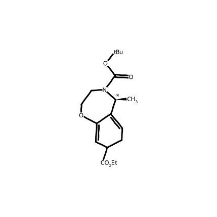 CCOC(=O)C1C=C2OCCN(C(=O)OC(C)(C)C)[C@@H](C)C2=CC1